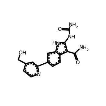 NC(=O)Nc1[nH]c2cc(-c3cc(CO)ccn3)ccc2c1C(N)=O